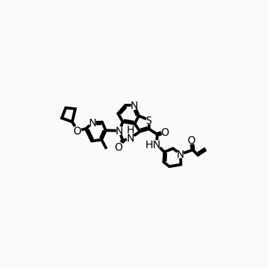 C=CC(=O)N1CCC=C(NC(=O)c2sc3nccc4c3c2NC(=O)N4c2cnc(OC3CCC3)cc2C)C1